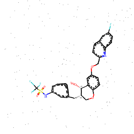 O=S(=O)(Nc1cccc(C[C@H]2COc3ccc(OCc4ccc5cc(F)ccc5n4)cc3[C@H]2O)c1)C(F)(F)F